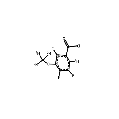 [2H]c1c(F)c(F)c(OC([2H])([2H])[2H])c(F)c1C(=O)Cl